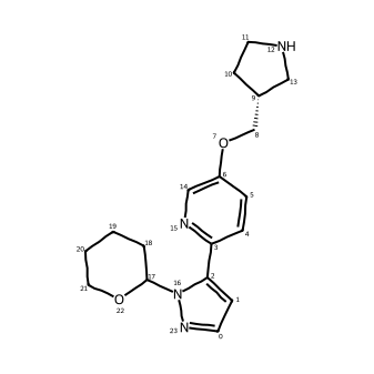 c1cc(-c2ccc(OC[C@@H]3CCNC3)cn2)n(C2CCCCO2)n1